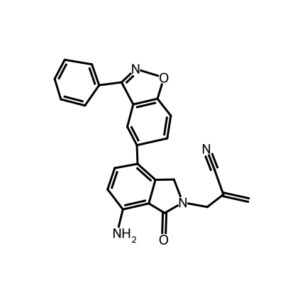 C=C(C#N)CN1Cc2c(-c3ccc4onc(-c5ccccc5)c4c3)ccc(N)c2C1=O